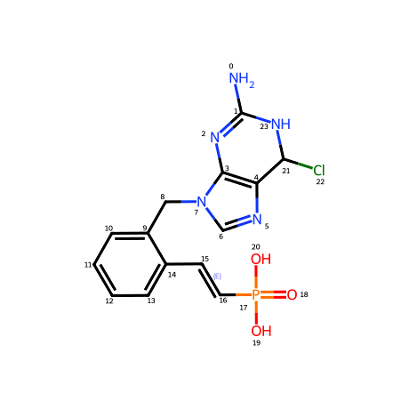 NC1=Nc2c(ncn2Cc2ccccc2/C=C/P(=O)(O)O)C(Cl)N1